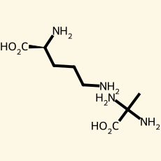 CC(N)(N)C(=O)O.NCCC[C@H](N)C(=O)O